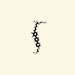 C=CCOc1ccc(-c2ccc(-c3ccc(C=CCCCC(C)OCCCCC)c(F)c3F)cc2)nc1